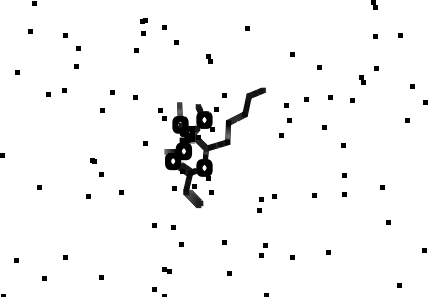 C=CC(=O)OC(CCCCC)[Si](OC)(OC)OC